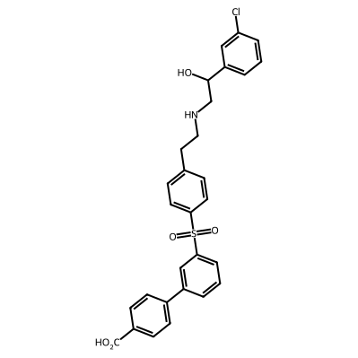 O=C(O)c1ccc(-c2cccc(S(=O)(=O)c3ccc(CCNCC(O)c4cccc(Cl)c4)cc3)c2)cc1